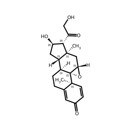 C[C@]12C[C@@H]3O[C@]34[C@@H](CCC3=CC(=O)C=C[C@@]34C)[C@@H]1C[C@@H](O)[C@@H]2C(=O)CO